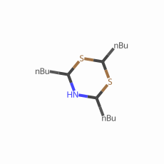 CCCCC1NC(CCCC)SC(CCCC)S1